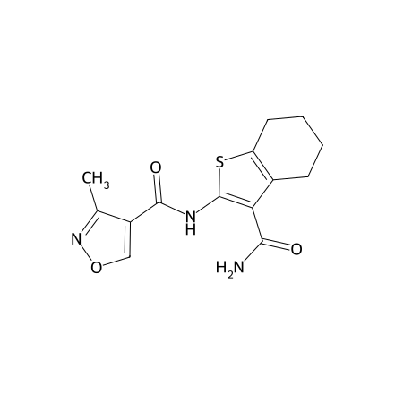 Cc1nocc1C(=O)Nc1sc2c(c1C(N)=O)CCCC2